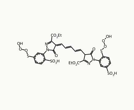 CCOC(=O)C1=NN(c2cc(SOOO)ccc2S(=O)(=O)O)C(=O)C1=CC=CC=CC1C(=O)N(c2cc(S(=O)(=O)O)ccc2SOOO)N=C1C(=O)OCC